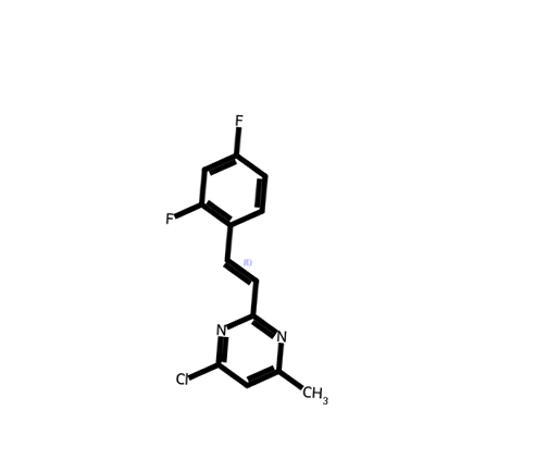 Cc1cc(Cl)nc(/C=C/c2ccc(F)cc2F)n1